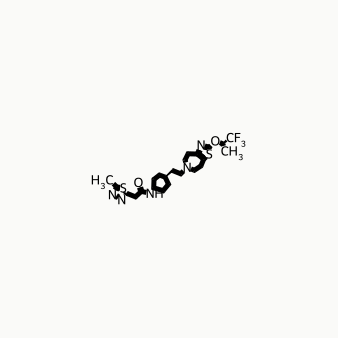 Cc1nnc(CC(=O)N[C@H]2CC[C@H](CCN3CCc4nc(O[C@H](C)C(F)(F)F)sc4CC3)CC2)s1